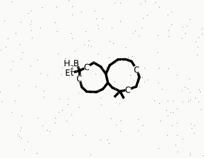 BC1(CC)CCCCCC2CC(C)(C)CCCCCCCCC2CCC1